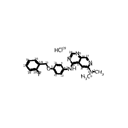 CN(C)c1cc2c(Nc3ccc(OCc4ccccc4F)cc3)ncnc2cn1.Cl